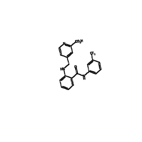 O=C(O)c1cc(CNc2ccccc2C(=O)Nc2cccc(C(F)(F)F)c2)ccn1